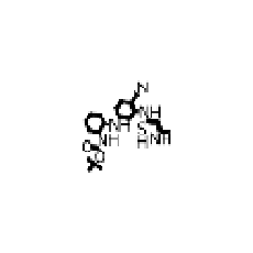 CC(=N)/C=C(\S)Nc1cc(N[C@@H]2CCCC[C@@H]2NC(=O)OC(C)(C)C)ccc1C#N